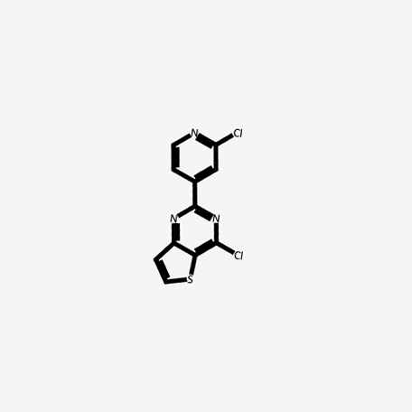 Clc1cc(-c2nc(Cl)c3sccc3n2)ccn1